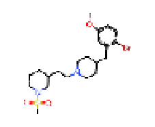 COc1ccc(Br)c(CC2CCN(CCC3CCCN(S(C)(=O)=O)C3)CC2)c1